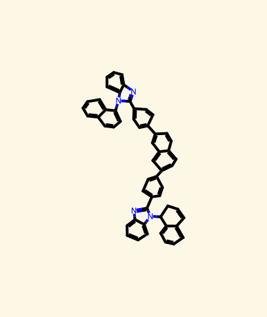 C1=Cc2ccccc2C(n2c(-c3ccc(-c4ccc5ccc(-c6ccc(-c7nc8ccccc8n7-c7cccc8ccccc78)cc6)cc5c4)cc3)nc3ccccc32)C1